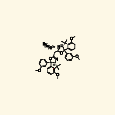 COc1cccc(C2(c3cccc(OC)c3)OC(CC3=N[C@H](C(C)(C)C)C(c4cccc(OC)c4)(c4cccc(OC)c4)O3)=N[C@@H]2C(C)(C)C)c1.[Br-].[Br-].[Ni+2]